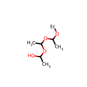 CCOC(C)OC(C)OC(C)O